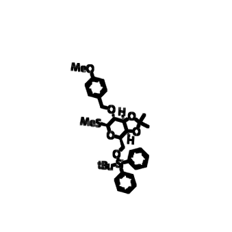 COc1ccc(CO[C@@H]2[C@H]3OC(C)(C)O[C@H]3[C@@H](CO[Si](c3ccccc3)(c3ccccc3)C(C)(C)C)O[C@H]2SC)cc1